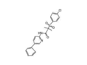 CC(C)(C(=O)Nc1ccc(-c2ccccc2)cn1)S(=O)(=O)c1ccc(Cl)cc1